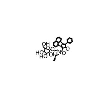 C#CCCN(CCOC1OC(CO)C(O)C(O)C1O)C(=O)C1=C2C(=C(c3ccccc3)C1=O)c1cccc3cccc2c13